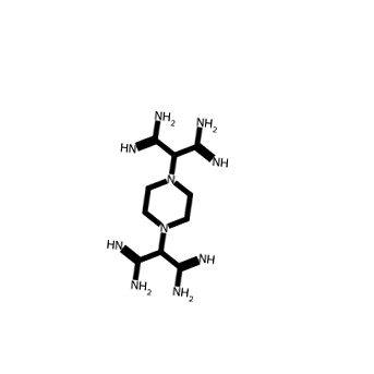 N=C(N)C(C(=N)N)N1CCN(C(C(=N)N)C(=N)N)CC1